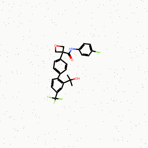 CC(C)(O)c1cc(C(F)(F)F)ccc1-c1ccc(C2(C(=O)Nc3ccc(F)cc3)COC2)cc1